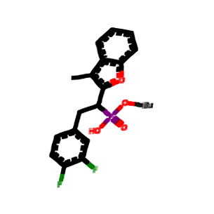 CCC(C)OP(=O)(O)C(Cc1ccc(F)c(F)c1)c1oc2ccccc2c1C